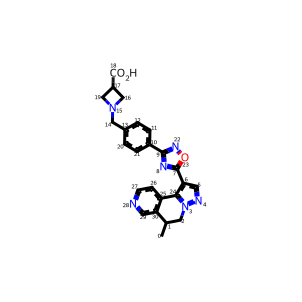 CC1Cn2ncc(-c3nc(-c4ccc(CN5CC(C(=O)O)C5)cc4)no3)c2-c2ccncc21